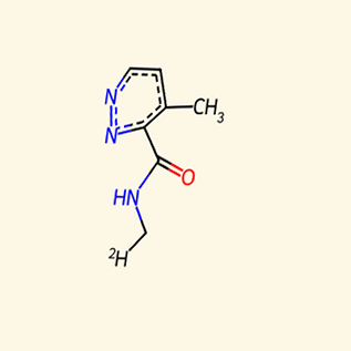 [2H]CNC(=O)c1nnccc1C